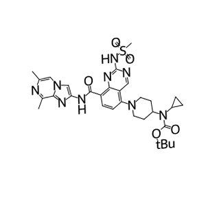 Cc1cn2cc(NC(=O)c3ccc(N4CCC(N(C(=O)OC(C)(C)C)C5CC5)CC4)c4cnc(NS(C)(=O)=O)nc34)nc2c(C)n1